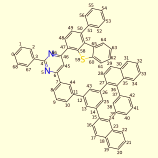 c1ccc(-c2nc(-c3cccc(-c4cc(-c5ccc6ccccc6c5)cc(-c5ccc6ccccc6c5-c5ccccc5)c4)c3)cc(-c3ccc(-c4ccccc4)c4c3sc3ccccc34)n2)cc1